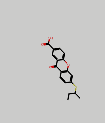 CCC(C)Sc1ccc2c(=O)c3cc(C(=O)O)ccc3oc2c1